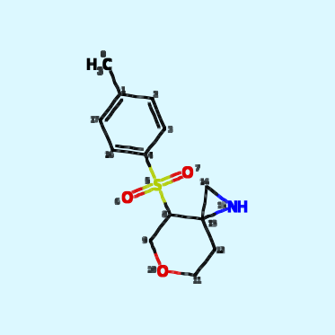 Cc1ccc(S(=O)(=O)C2COCCC23CN3)cc1